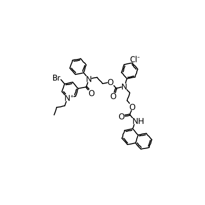 CCC[n+]1cc(Br)cc(C(=O)N(CCOC(=O)N(CCOC(=O)Nc2cccc3ccccc23)c2ccccc2)c2ccccc2)c1.[Cl-]